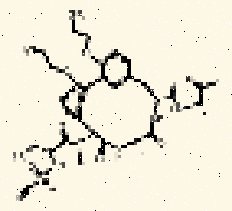 CC(=O)[C@H](C)NC(=O)[C@@H]1Cc2ccc(OCCN)c(c2)-c2cc(ccc2OCCN)[C@H](N(C)C(=O)[C@H](CO)NS(=O)(=O)C#N)C(=O)N[C@@H](C)C(=O)N1